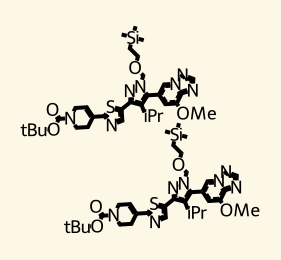 COc1cc(-c2c(C(C)C)c(-c3cnc(C4=CCN(C(=O)OC(C)(C)C)CC4)s3)nn2COCC[Si](C)(C)C)cn2ncnc12.COc1cc(-c2c(C(C)C)c(-c3cnc(C4=CCN(C(=O)OC(C)(C)C)CC4)s3)nn2COCC[Si](C)(C)C)cn2ncnc12